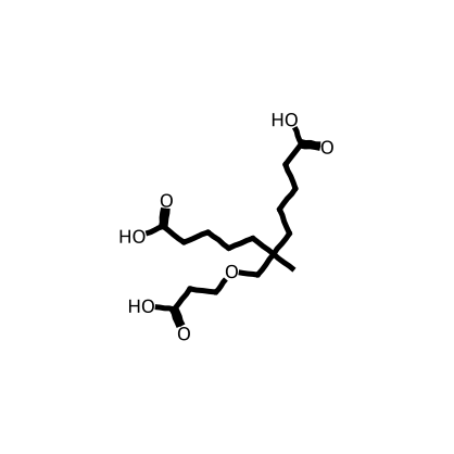 CC(CCCCC(=O)O)(CCCCC(=O)O)COCCC(=O)O